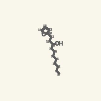 CCCCCCCCC(O)CCc1ccco1